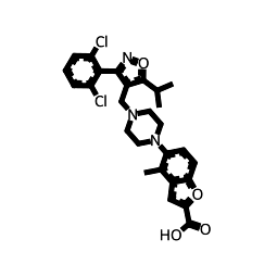 Cc1c(N2CCN(Cc3c(-c4c(Cl)cccc4Cl)noc3C(C)C)CC2)ccc2oc(C(=O)O)cc12